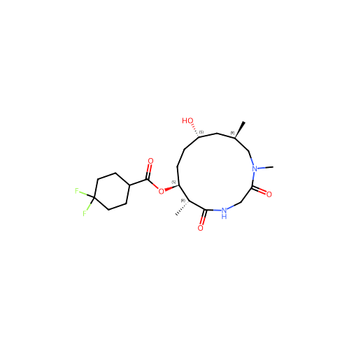 C[C@@H]1C[C@@H](O)CC[C@H](OC(=O)C2CCC(F)(F)CC2)[C@@H](C)C(=O)NCC(=O)N(C)C1